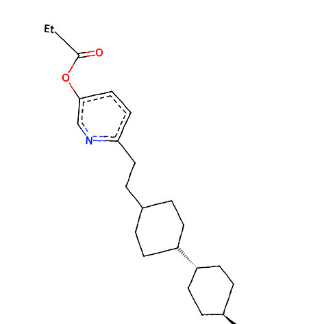 CCC[C@H]1CC[C@H](C2CCC(CCc3ccc(OC(=O)CC)cn3)CC2)CC1